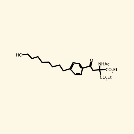 CCOC(=O)C(CC(=O)c1ccc(CCCCCCCCO)cc1)(NC(C)=O)C(=O)OCC